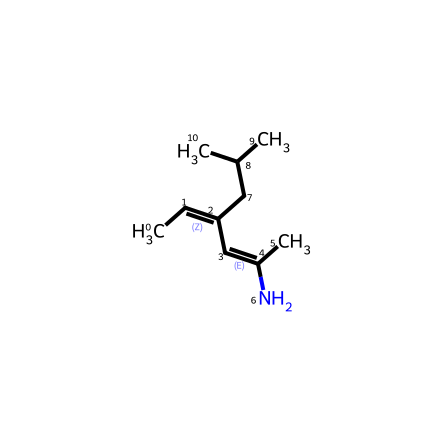 C/C=C(\C=C(/C)N)CC(C)C